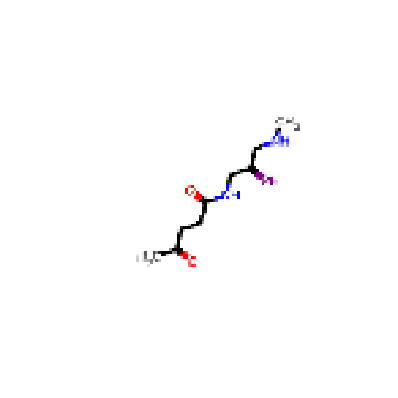 CNCC(=P)CNC(=O)CCC(C)=O